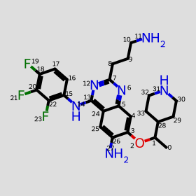 CC(Oc1cc2nc(CCCN)nc(Nc3ccc(F)c(F)c3F)c2cc1N)C1CCNCC1